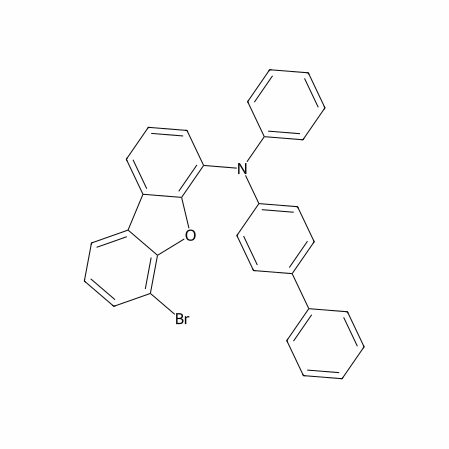 Brc1cccc2c1oc1c(N(c3ccccc3)c3ccc(-c4ccccc4)cc3)cccc12